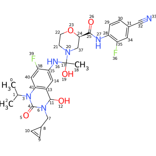 CC(C)N1C(=O)N(CC2C=C2)C(O)c2cc(NC(C)(O)N3CCO[C@@H](C(=O)Nc4ccc(C#N)cc4F)C3)c(F)cc21